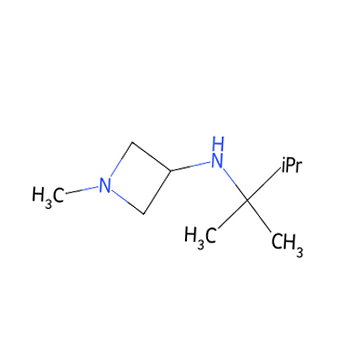 CC(C)C(C)(C)NC1CN(C)C1